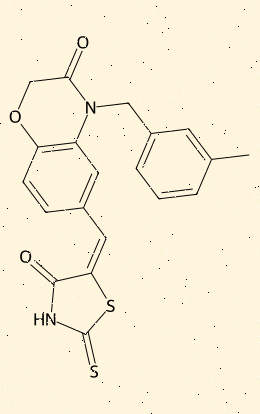 Cc1cccc(CN2C(=O)COc3ccc(C=C4SC(=S)NC4=O)cc32)c1